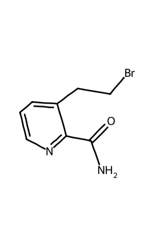 NC(=O)c1ncccc1CCBr